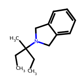 CCC(C)(CC)N1Cc2ccccc2C1